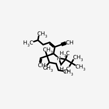 C#C/C(=C/CC(C)C)C(N1CC1(C)C(C)(C)C)C(C)(C=C)C(C)CCC